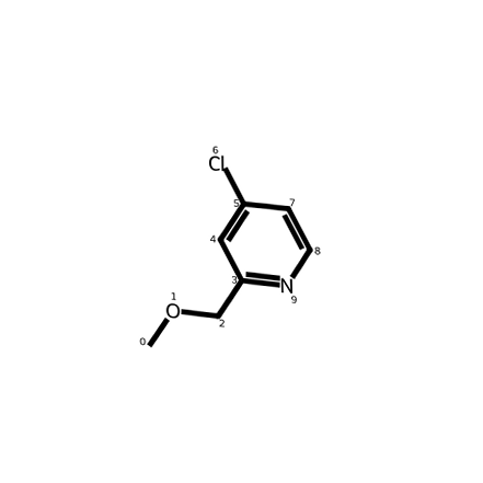 COCc1cc(Cl)ccn1